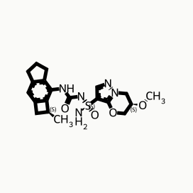 CO[C@@H]1COc2c([S@@](N)(=O)=NC(=O)Nc3c4c(cc5c3[C@@H](C)C5)CCC4)cnn2C1